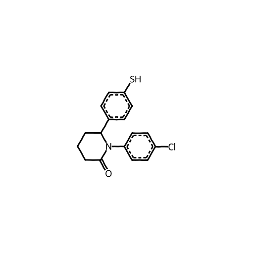 O=C1CCCC(c2ccc(S)cc2)N1c1ccc(Cl)cc1